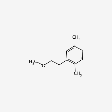 COCCc1cc(C)ccc1C